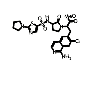 COC(=O)C(Cc1cc2ccnc(N)c2cc1Cl)N1CCC(NS(=O)(=O)c2cnc(N3CCCC3)s2)C1=O